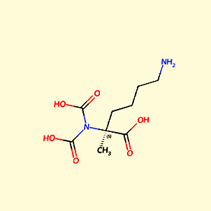 C[C@](CCCCN)(C(=O)O)N(C(=O)O)C(=O)O